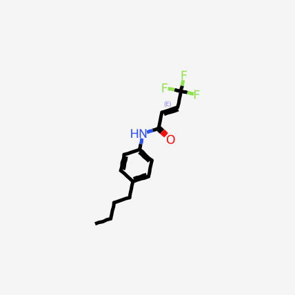 CCCCc1ccc(NC(=O)/C=C/C(F)(F)F)cc1